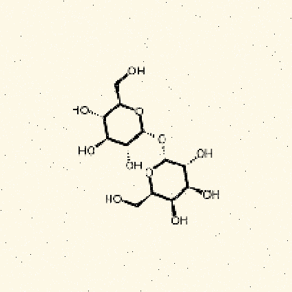 OC[C@H]1O[C@H](O[C@H]2O[C@H](CO)[C@@H](O)[C@H](O)[C@H]2O)[C@H](O)[C@@H](O)[C@H]1O